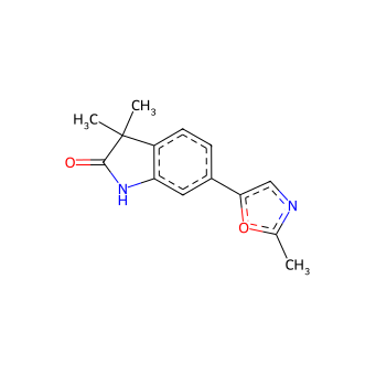 Cc1ncc(-c2ccc3c(c2)NC(=O)C3(C)C)o1